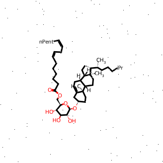 CCCCC/C=C\C/C=C\CCCCCC(=O)OC[C@H]1O[C@@H](O[C@H]2CC[C@@]3(C)C(=CC[C@H]4[C@@H]5CC[C@H]([C@H](C)CCCC(C)C)[C@@]5(C)CC[C@@H]43)C2)[C@H](O)[C@@H](O)[C@@H]1O